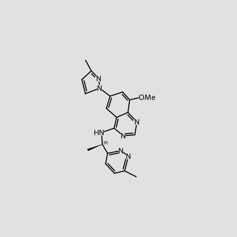 COc1cc(-n2ccc(C)n2)cc2c(N[C@H](C)c3ccc(C)nn3)ncnc12